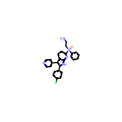 NCC[N+]([O-])(c1ccccc1)c1ccc2c(-c3ccncc3)c(-c3ccc(F)cc3)[nH]c2n1